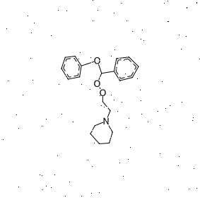 c1ccc(OC(OOCCN2CCCCC2)c2ccccc2)cc1